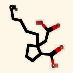 CCCCCC1(CC(=O)O)CCCC1C(=O)O